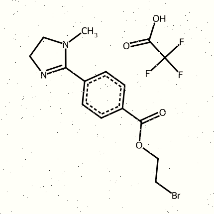 CN1CCN=C1c1ccc(C(=O)OCCBr)cc1.O=C(O)C(F)(F)F